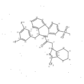 CS(=O)(=O)c1ccc(-c2cccnc2C(Cc2cc(F)cc(F)c2)NC(=O)Cn2nc(C(F)(F)F)c3c2CCCC3)cc1